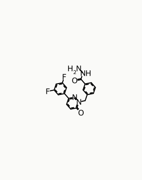 NNC(=O)c1cccc(Cn2nc(-c3cc(F)cc(F)c3)ccc2=O)c1